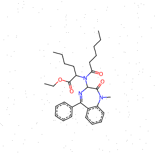 CCCCCC(=O)N(C(CCCC)C(=O)OCC)C1N=C(c2ccccc2)c2ccccc2N(C)C1=O